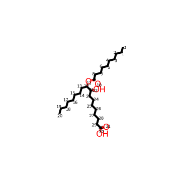 CCCCCCCCCC(=O)OC(CCCCCCCC)C(O)CCCCCCCC(=O)O